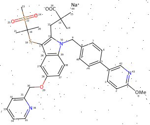 COc1ccc(-c2ccc(Cn3c(CC(C)(C)C(=O)[O-])c(SC(C)(C)S(C)(=O)=O)c4cc(OCc5ccccn5)ccc43)cc2)cn1.[Na+]